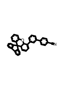 N#Cc1ccc(-c2cccc(C3=CC=CC4C3Oc3ccccc3C43c4ccccc4-c4ccccc43)c2)cc1